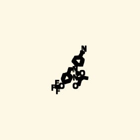 Cc1oc(N(Cc2ccc(OC(F)(F)F)cc2)c2ccc(C#N)cc2)nc1C=O